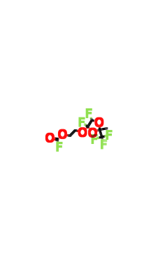 CC1(C(F)(F)F)OC(F)C(F)(OCCOC(=O)F)O1